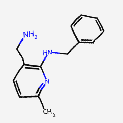 Cc1ccc(CN)c(NCc2ccccc2)n1